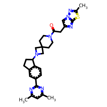 Cc1cc(C)nc(-c2ccc3c(c2)CCC3N2CC3(CCN(C(=O)Cc4cn5nc(C)sc5n4)CC3)C2)n1